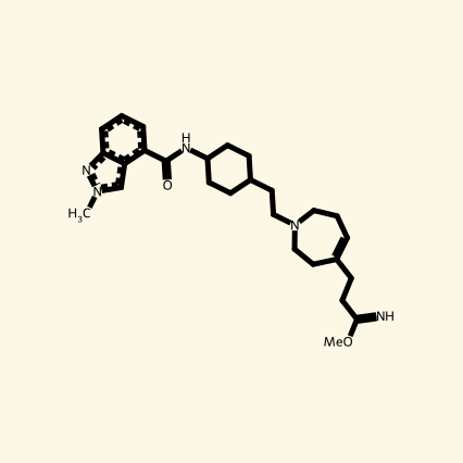 COC(=N)CCC1=CCCN(CCC2CCC(NC(=O)c3cccc4nn(C)cc34)CC2)CC1